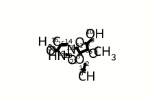 C#CCOC1C(OC)C(CO)OC1n1cc(C)c(=O)[nH]c1=O